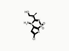 C[C@H](CO)C1=NS(=O)(=O)c2sc(Cl)cc2N1N